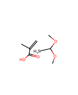 C=C(C)C(=O)O.COC([SiH3])OC